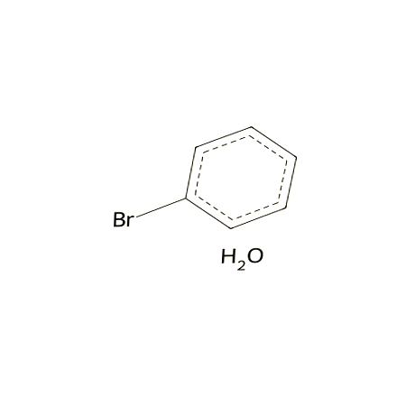 Brc1ccccc1.O